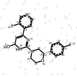 OC1C=C(c2ccncc2F)N=C(N2CCO[C@@H](c3ccc(F)cc3)C2)N1